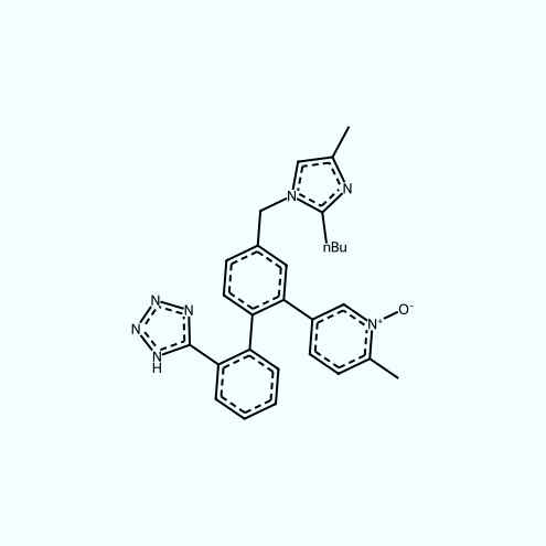 CCCCc1nc(C)cn1Cc1ccc(-c2ccccc2-c2nnn[nH]2)c(-c2ccc(C)[n+]([O-])c2)c1